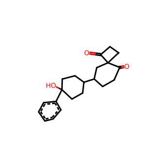 O=C1CCC(C2CCC(O)(c3ccccc3)CC2)CC12CCC2=O